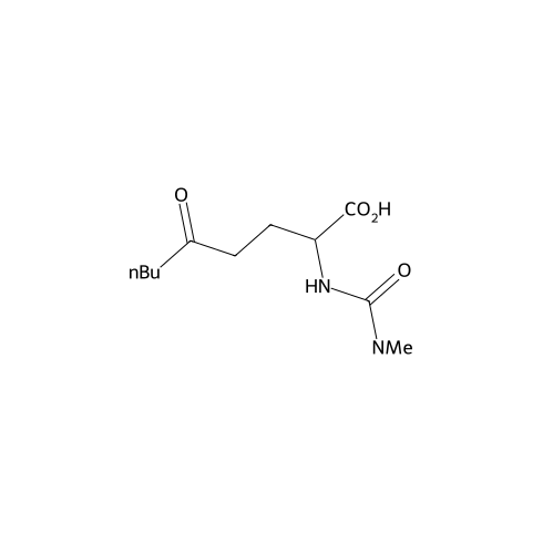 CCCCC(=O)CCC(NC(=O)NC)C(=O)O